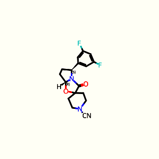 N#CN1CCC2(CC1)O[C@@H]1CC[C@@H](c3cc(F)cc(F)c3)N1C2=O